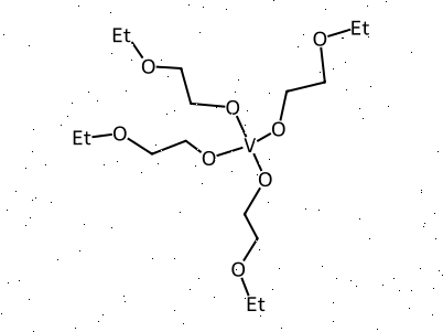 CCOCC[O][V]([O]CCOCC)([O]CCOCC)[O]CCOCC